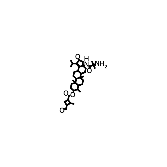 CC(C)C1=C2C3CCC4C(C)(CCC5C(C)C(OC(=O)C6CC(C=O)C6C)CCC54C)C3CCC2(NC(=O)C(C)(C)N)CC1=O